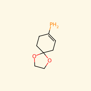 PC1=CCC2(CC1)OCCO2